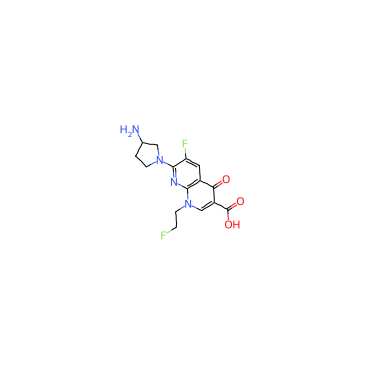 NC1CCN(c2nc3c(cc2F)c(=O)c(C(=O)O)cn3CCF)C1